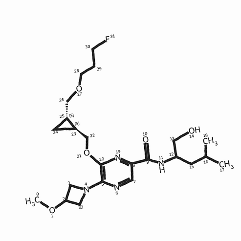 COC1CN(c2ncc(C(=O)NC(CO)CC(C)C)nc2OC[C@H]2C[C@@H]2COCCCF)C1